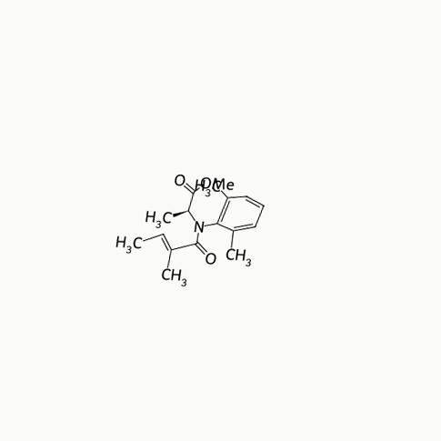 CC=C(C)C(=O)N(c1c(C)cccc1C)[C@@H](C)C(=O)OC